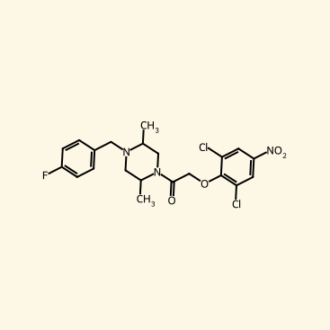 CC1CN(C(=O)COc2c(Cl)cc([N+](=O)[O-])cc2Cl)C(C)CN1Cc1ccc(F)cc1